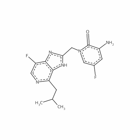 CC(C)Cc1ncc(F)c2nc(Cn3cc(F)cc(N)c3=O)[nH]c12